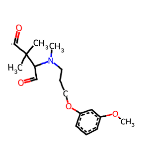 COc1cccc(OCCCN(C)C(C=O)C(C)(C)[C]=O)c1